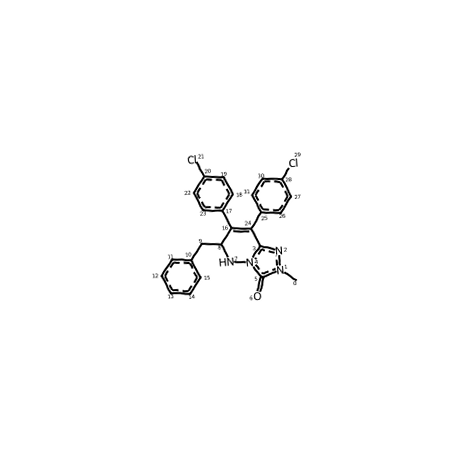 Cn1nc2n(c1=O)NC(Cc1ccccc1)C(c1ccc(Cl)cc1)=C2c1ccc(Cl)cc1